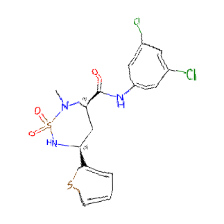 CN1[C@@H](C(=O)Nc2cc(Cl)cc(Cl)c2)C[C@@H](c2cccs2)NS1(=O)=O